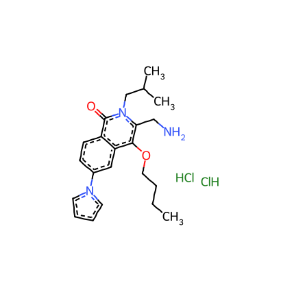 CCCCOc1c(CN)n(CC(C)C)c(=O)c2ccc(-n3cccc3)cc12.Cl.Cl